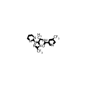 C[C@H](NC(=O)c1cncc(C(F)(F)F)c1)c1nc(C(F)(F)F)nn1-c1ncccn1